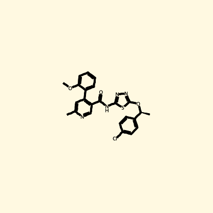 COc1ccccc1-c1cc(C)ncc1C(=O)Nc1nnc(O[C@@H](C)c2ccc(Cl)cc2)s1